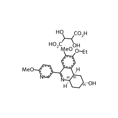 CCOc1cc2c(cc1OC)C(c1ccc(OC)nc1)=N[C@@H]1CC[C@@H](O)C[C@H]21.O=C(O)C(O)C(O)C(=O)O